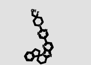 OCC1(F)CCN(c2ncc(-c3ccc4nc5n(c4n3)C3(CCC5)CCc4ccccc43)cn2)CC1